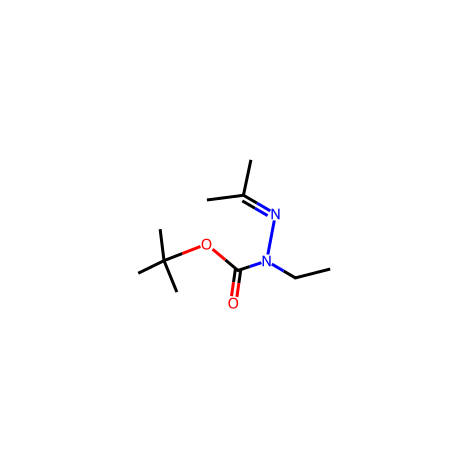 CCN(N=C(C)C)C(=O)OC(C)(C)C